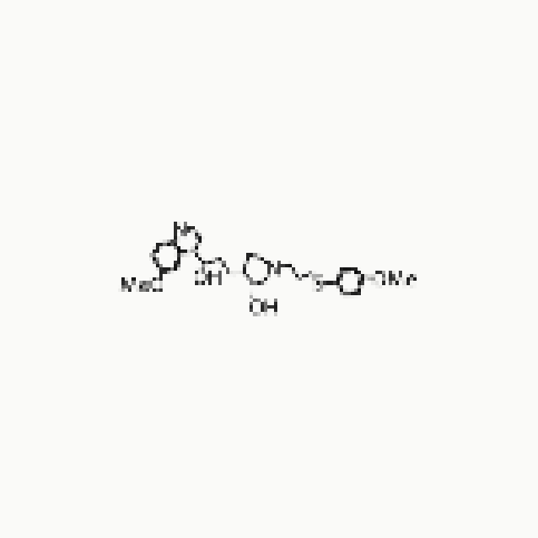 COc1ccc(SCCCN2CC[C@@H](CC[C@@H](O)c3ccnc4ccc(OC)cc34)[C@@H](CO)C2)cc1